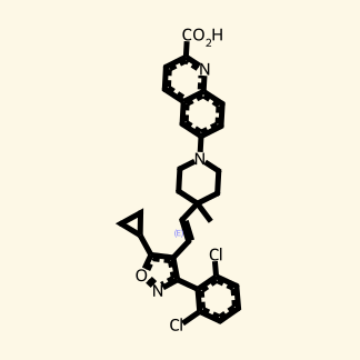 CC1(/C=C/c2c(-c3c(Cl)cccc3Cl)noc2C2CC2)CCN(c2ccc3nc(C(=O)O)ccc3c2)CC1